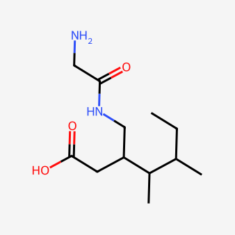 CCC(C)C(C)C(CNC(=O)CN)CC(=O)O